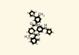 Cc1ccc(NC(=O)[C@H]2CCCN(C(=O)c3c(C)cccc3F)[C@H]2C2C=CC(NC3CCCC3)=CC2)cc1N1CCCC1